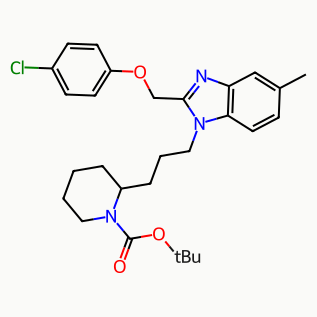 Cc1ccc2c(c1)nc(COc1ccc(Cl)cc1)n2CCCC1CCCCN1C(=O)OC(C)(C)C